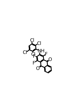 O=C1c2ccccc2C(=O)c2c(F)c(Nc3c(Cl)c(Cl)cc(Cl)c3Cl)c(F)c(F)c21